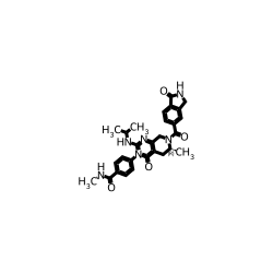 CNC(=O)c1ccc(-n2c(NC(C)C)nc3c(c2=O)C[C@@H](C)N(C(=O)c2ccc4c(c2)CNC4=O)C3)cc1